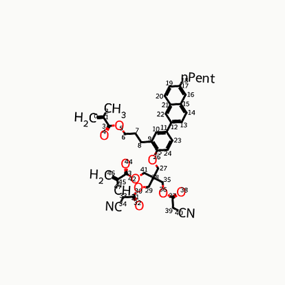 C=C(C)C(=O)OCCCc1cc(-c2ccc3cc(CCCCC)ccc3c2)ccc1OCC(COC(=O)CC#N)(COC(=O)CC#N)COC(=O)C(=C)C